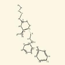 CCCCCN1CC[C@H](CCOc2ccccc2Cc2ccccc2)[C@@H](OC)C1